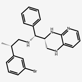 C[C@H](CN[C@H](c1ccccc1)[C@H]1CNc2cccnc2N1)c1cccc(Br)c1